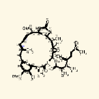 CCN(C)CCC(=O)N(C)[C@@H](C)C(=O)O[C@H]1CC(=O)N(C)c2cc(cc(OC)c2Cl)C/C(C)=C/C=C/[C@@H](OC)[C@@]2(O)C[C@H](OC(=O)N2)[C@@H](C)[C@@H]2O[C@@]12C